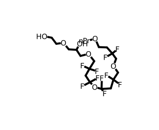 CCCOCCC(F)(F)COCC(F)(F)CC(F)(F)OC(F)(F)CC(F)(F)COCC(O)COCCO